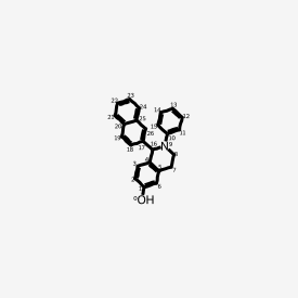 Oc1ccc2c(c1)CCN(c1ccccc1)C2c1ccc2ccccc2c1